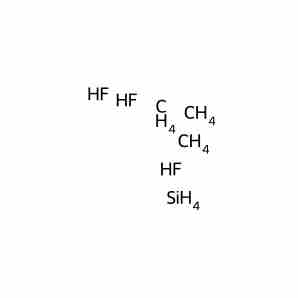 C.C.C.F.F.F.[SiH4]